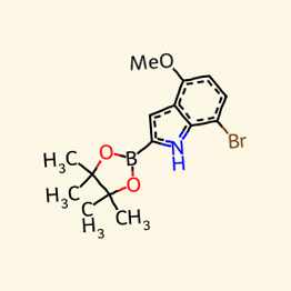 COc1ccc(Br)c2[nH]c(B3OC(C)(C)C(C)(C)O3)cc12